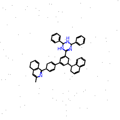 Cc1cc2c(c(C3C=CC(C4=CC(C5CC=Cc6ccccc65)CC(C5=NC(c6ccccc6)NC(c6ccccc6)N5)=C4)=CC3)n1)C=CCC2